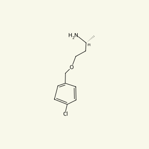 C[C@@H](N)CCOCc1ccc(Cl)cc1